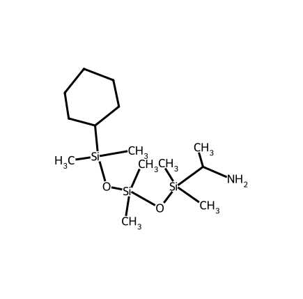 CC(N)[Si](C)(C)O[Si](C)(C)O[Si](C)(C)C1CCCCC1